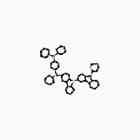 c1ccc(N(c2ccccc2)c2ccc(N(c3ccccc3)c3ccc4c(c3)c3ccccc3n4-c3ccc4c(c3)c3ccccc3n4-c3ccccn3)cc2)cc1